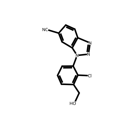 N#Cc1ccc2nnn(-c3cccc(CO)c3Cl)c2c1